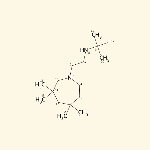 CC1(C)CCN(CCNC(C)(C)I)CC(C)(C)C1